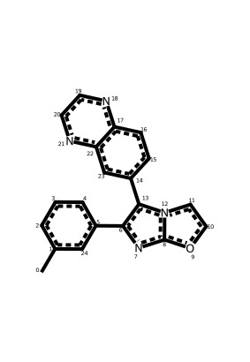 Cc1cccc(-c2nc3occn3c2-c2ccc3nccnc3c2)c1